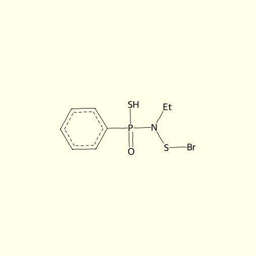 CCN(SBr)P(=O)(S)c1ccccc1